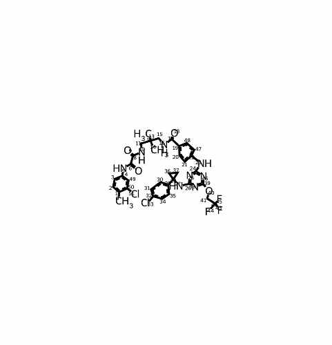 Cc1ccc(NC(=O)C(=O)NCC(C)(C)CNC(=O)c2ccc(Nc3nc(NC4(c5ccc(Cl)cc5)CC4)nc(OCC(F)(F)F)n3)cc2)cc1Cl